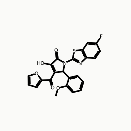 COc1ccccc1C1C(C(=O)c2ccco2)=C(O)C(=O)N1c1nc2ccc(F)cc2s1